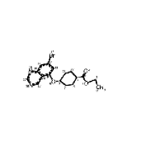 CCOC(=O)[C@H]1CC[C@@H](Oc2cc(Br)cc3ncncc23)CC1